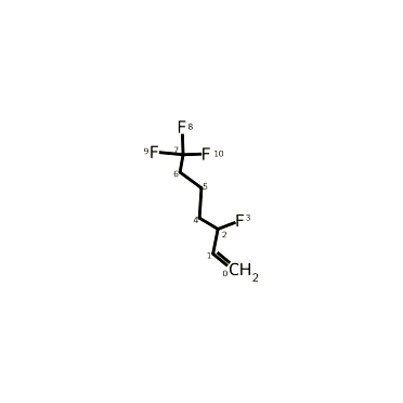 C=CC(F)CCCC(F)(F)F